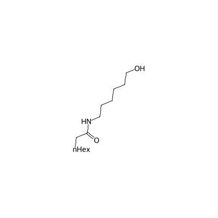 CCCCCCCC(=O)NCCCCCCO